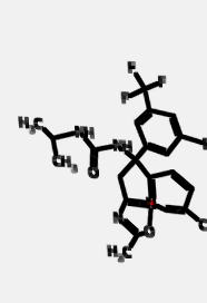 Cc1nc(CC(NC(=O)NC(C)C)(c2cc(F)cc(C(F)(F)F)c2)c2ccc(Cl)cn2)no1